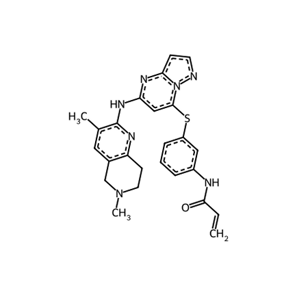 C=CC(=O)Nc1cccc(Sc2cc(Nc3nc4c(cc3C)CN(C)CC4)nc3ccnn23)c1